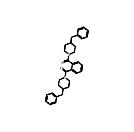 O=C(c1ccccc1C(=O)N1CCC(Cc2ccccc2)CC1)N1CCC(Cc2ccccc2)CC1